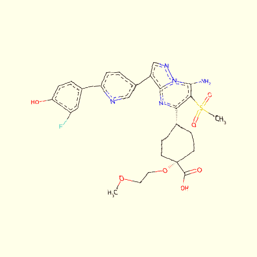 COCCO[C@]1(C(=O)O)CC[C@H](c2nc3c(-c4ccc(-c5ccc(O)c(F)c5)nc4)cnn3c(N)c2S(C)(=O)=O)CC1